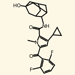 Cn1c(C(=O)c2c(F)cccc2F)cc(C2CC2)c1C(=O)NC1C2CC3CC1CC(O)(C3)C2